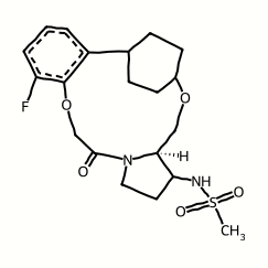 CS(=O)(=O)NC1CCN2C(=O)COc3c(F)cccc3C3CCC(CC3)OC[C@@H]12